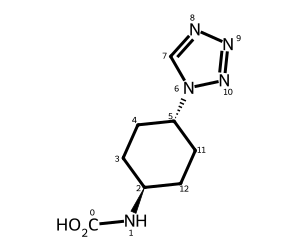 O=C(O)N[C@H]1CC[C@H](n2cnnn2)CC1